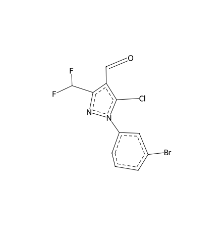 O=Cc1c(C(F)F)nn(-c2cccc(Br)c2)c1Cl